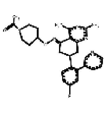 CC(=O)N1CCC(O/N=C2\CC(c3ccc(F)cc3-c3cccnc3)Cc3nc(N)nc(C)c32)CC1